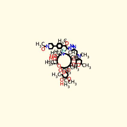 CC[C@H]1OC(=O)[C@H](C)[C@@H](O[C@H]2C[C@@](C)(OC)[C@@H](O)[C@H](C)O2)[C@H](C)[C@H]2O[C@@H]3O[C@H](C)C[C@H](N(C)CCc4cn([C@H](CF)[C@H](OC)c5ccc(C6=CCN(C(C)=O)CC6)cc5)nn4)[C@H]3O[C@]2(C)C[C@@H](C)CN(C)[C@H](C)[C@@H](O)[C@]1(C)O